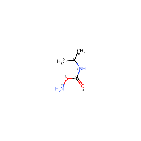 CC(C)NC(=O)ON